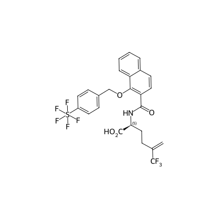 C=C(CC[C@H](NC(=O)c1ccc2ccccc2c1OCc1ccc(S(F)(F)(F)(F)F)cc1)C(=O)O)C(F)(F)F